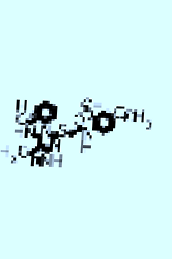 CCc1ccccc1-n1c(SCC(=O)Nc2ccc(OC)cc2OC)nc2[nH]nc(C)c2c1=N